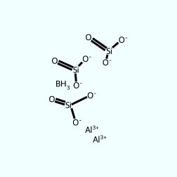 B.O=[Si]([O-])[O-].O=[Si]([O-])[O-].O=[Si]([O-])[O-].[Al+3].[Al+3]